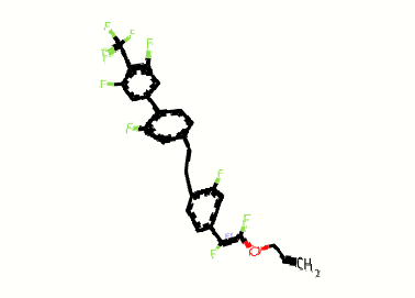 C=CCO/C(F)=C(\F)c1ccc(CCc2ccc(-c3cc(F)c(C(F)(F)F)c(F)c3)c(F)c2)c(F)c1